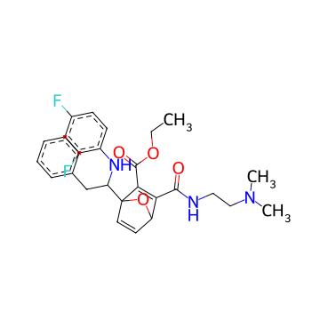 CCOC(=O)C1=C(C(=O)NCCN(C)C)C2C=CC1(C(Cc1ccccc1)Nc1ccc(F)cc1F)O2